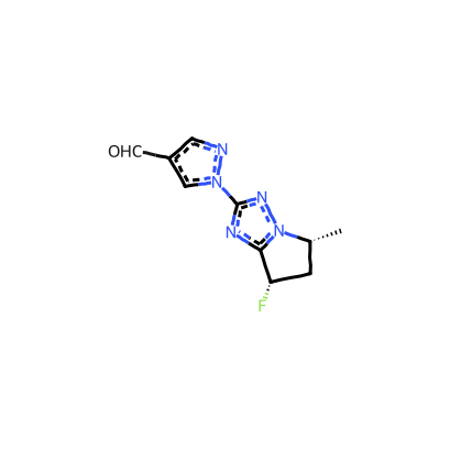 C[C@@H]1C[C@H](F)c2nc(-n3cc(C=O)cn3)nn21